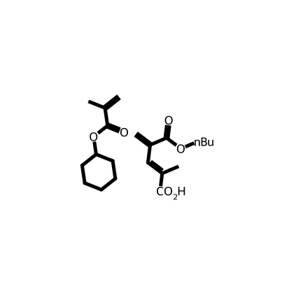 C=C(C)C(=O)OC1CCCCC1.C=C(C=C(C)C(=O)O)C(=O)OCCCC